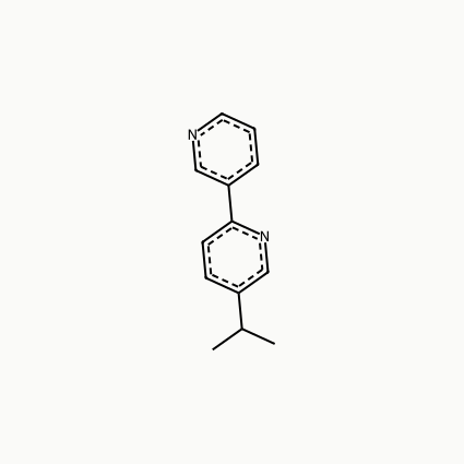 CC(C)c1ccc(-c2cccnc2)nc1